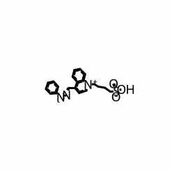 CN(N=Cc1cc[n+](CCCCS(=O)(=O)O)c2ccccc12)c1ccccc1